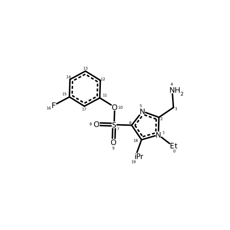 CCn1c(CN)nc(S(=O)(=O)Oc2cccc(F)c2)c1C(C)C